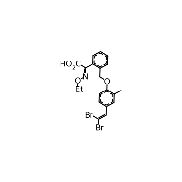 CCON=C(C(=O)O)c1ccccc1COc1ccc(C=C(Br)Br)cc1C